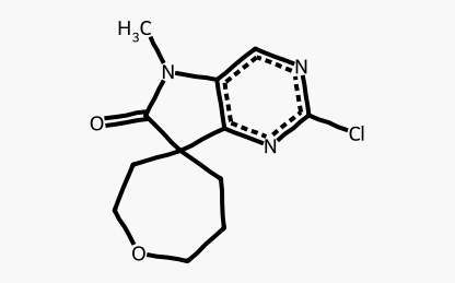 CN1C(=O)C2(CCCOCC2)c2nc(Cl)ncc21